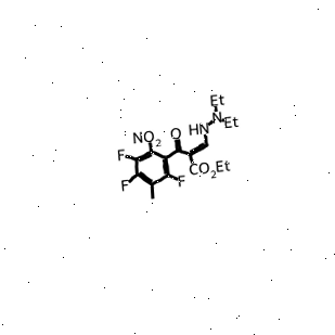 CCOC(=O)/C(=C/NN(CC)CC)C(=O)c1c(F)c(C)c(F)c(F)c1[N+](=O)[O-]